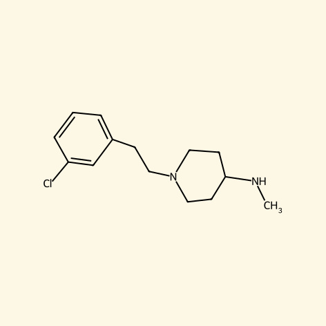 CNC1CCN(CCc2cccc(Cl)c2)CC1